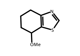 COC1CCCc2ncsc21